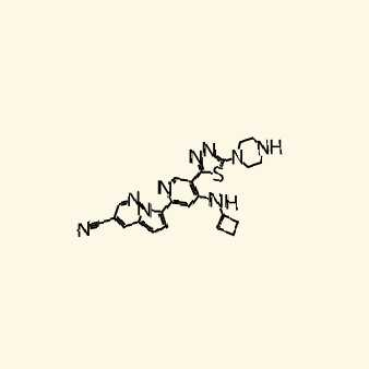 N#Cc1cnn2c(-c3cc(NC4CCC4)c(-c4nnc(N5CCNCC5)s4)cn3)ccc2c1